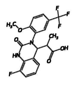 COc1ccc(C(F)(F)F)cc1N1C(=O)Nc2c(F)cccc2C1C(C)C(=O)O